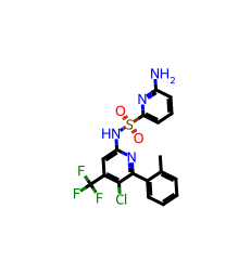 Cc1ccccc1-c1nc(NS(=O)(=O)c2cccc(N)n2)cc(C(F)(F)F)c1Cl